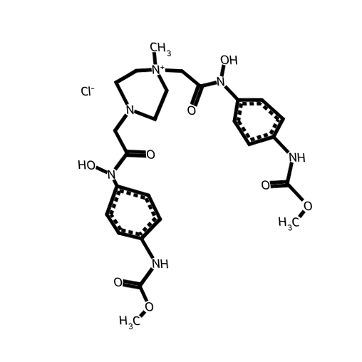 COC(=O)Nc1ccc(N(O)C(=O)CN2CC[N+](C)(CC(=O)N(O)c3ccc(NC(=O)OC)cc3)CC2)cc1.[Cl-]